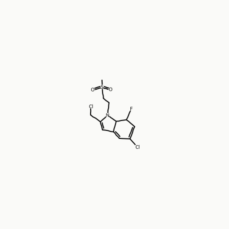 CS(=O)(=O)CCN1C(CCl)=CC2=CC(Cl)=CC(F)C21